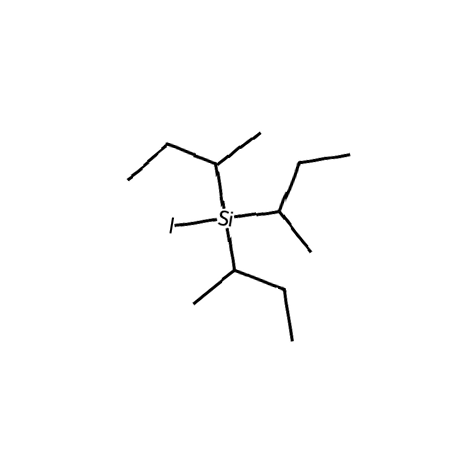 CCC(C)[Si](I)(C(C)CC)C(C)CC